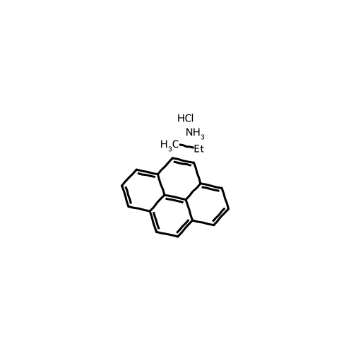 CCC.Cl.N.c1cc2ccc3cccc4ccc(c1)c2c34